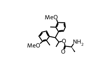 COc1cccc(C(c2cccc(OC)c2C)C(C)OC(=O)[C@H](C)N)c1C